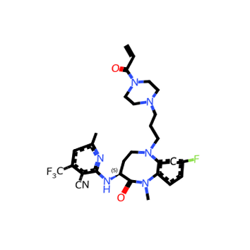 C=CC(=O)N1CCN(CCCN2CC[C@H](Nc3nc(C)cc(C(F)(F)F)c3C#N)C(=O)N(C)c3ccc(F)cc32)CC1